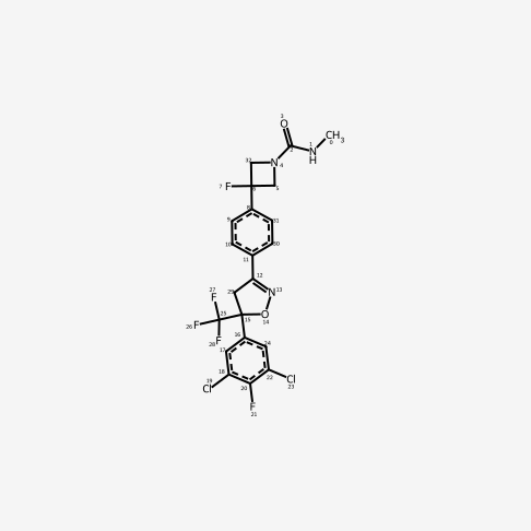 CNC(=O)N1CC(F)(c2ccc(C3=NOC(c4cc(Cl)c(F)c(Cl)c4)(C(F)(F)F)C3)cc2)C1